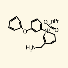 CCCS(=O)(=O)[N+]1(c2cccc(Oc3ccccc3)c2)C=C(CN)C=CC1